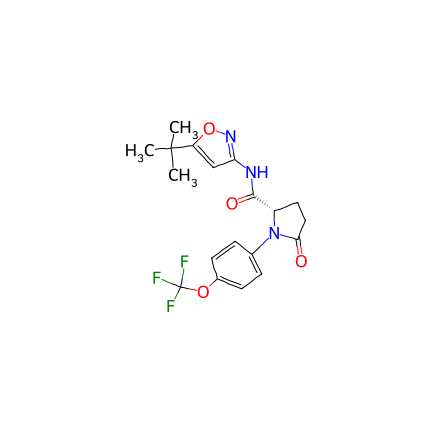 CC(C)(C)c1cc(NC(=O)[C@@H]2CCC(=O)N2c2ccc(OC(F)(F)F)cc2)no1